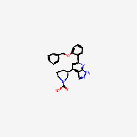 O=C(O)N1CCCC(c2cc(-c3ccccc3OCc3ccccc3)nc3[nH]ncc23)C1